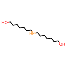 OCCCCCCCPCCCCCCCO